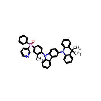 Cc1cc(P(=O)(c2ccccc2)c2cccnc2)ccc1-n1c2ccccc2c2cc(N3c4ccccc4C(C)(C)c4ccccc43)ccc21